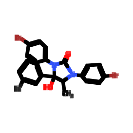 CCc1cccc(C2(O)C(C)N(c3ccc(Br)cc3)C(=O)N2c2ccc(Br)cc2)c1